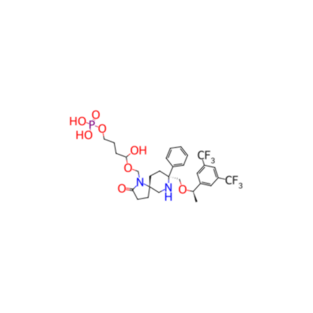 C[C@@H](OC[C@@]1(c2ccccc2)CC[C@]2(CCC(=O)N2COC(O)CCCOP(=O)(O)O)CN1)c1cc(C(F)(F)F)cc(C(F)(F)F)c1